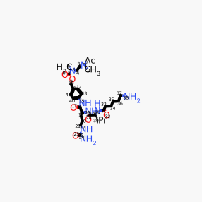 CC(=O)N(C)CCN(C)C(=O)OCc1ccc(NC(=O)[C@H](CCCNC(N)=O)NC(=O)[C@@H](NC(=O)CCCCCN)C(C)C)cc1